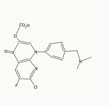 CN(C)Cc1ccc(-n2cc(OC(=O)O)c(=O)c3cc(F)c(Cl)nc32)cc1